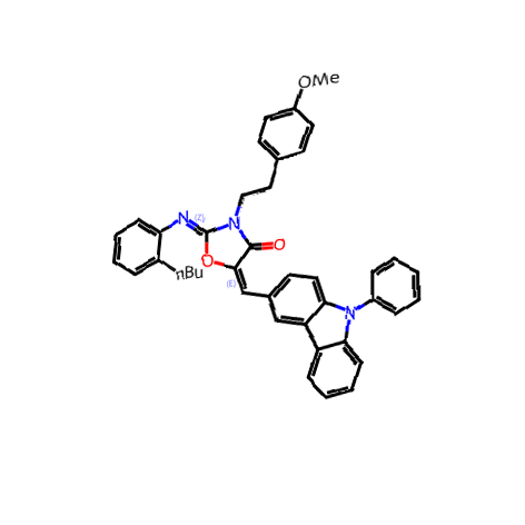 CCCCc1ccccc1/N=C1\O/C(=C/c2ccc3c(c2)c2ccccc2n3-c2ccccc2)C(=O)N1CCc1ccc(OC)cc1